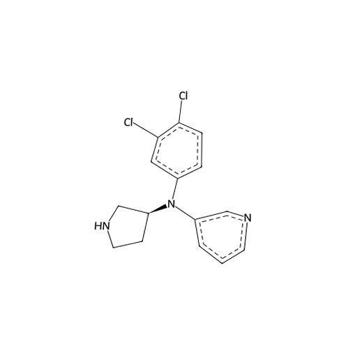 Clc1ccc(N(c2cccnc2)[C@H]2CCNC2)cc1Cl